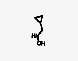 ONCC1CC1